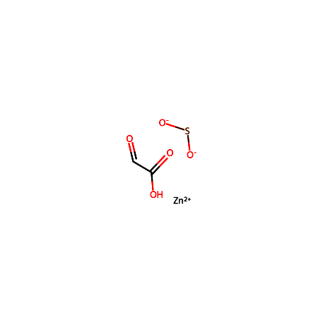 O=CC(=O)O.[O-]S[O-].[Zn+2]